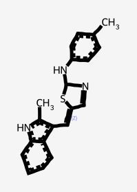 Cc1ccc(NC2N=C/C(=C/c3c(C)[nH]c4ccccc34)S2)cc1